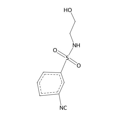 [C-]#[N+]c1cccc(S(=O)(=O)NCCO)c1